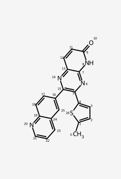 Cc1ccc(-c2nc3[nH]c(=O)ccc3nc2-c2ccc3ncccc3c2)s1